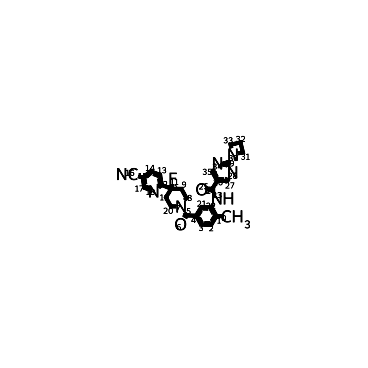 Cc1ccc(C(=O)N2CCC(F)(c3ccc(C#N)cn3)CC2)cc1NC(=O)c1cnc(N2CCC2)nc1